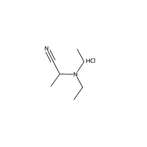 CCN(CC)C(C)C#N.Cl